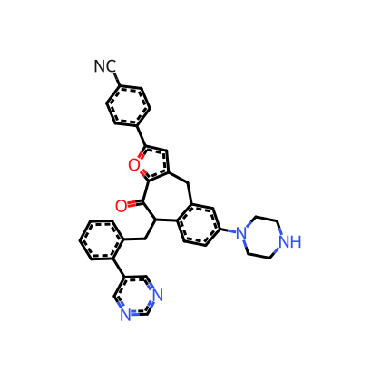 N#Cc1ccc(-c2cc3c(o2)C(=O)C(Cc2ccccc2-c2cncnc2)c2ccc(N4CCNCC4)cc2C3)cc1